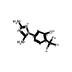 Nc1nc(N)n(-c2ccc(C(F)(F)F)c(Cl)c2)n1